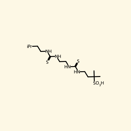 CC(C)CCNC(=S)NCCNC(=S)NCCC(C)(C)S(=O)(=O)O